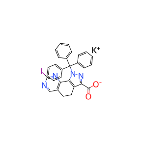 O=C([O-])c1nn(C(c2ccccc2)(c2ccccc2)c2ccccc2)c2c1CCc1cnc(I)nc1-2.[K+]